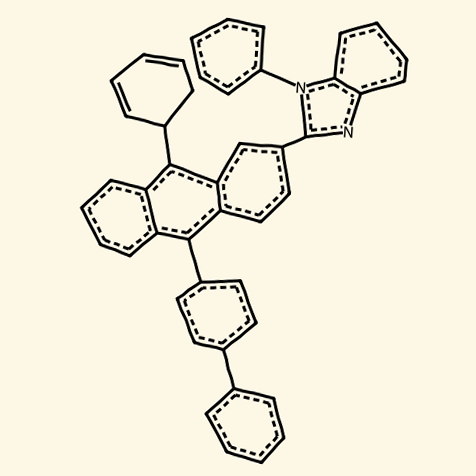 C1=CCC(c2c3ccccc3c(-c3ccc(-c4ccccc4)cc3)c3ccc(-c4nc5ccccc5n4-c4ccccc4)cc23)C=C1